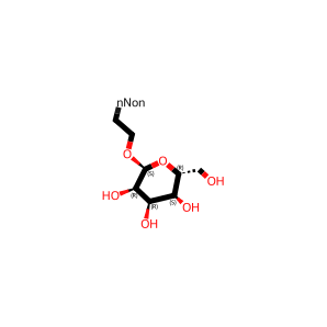 CCCCCCCCCCCO[C@H]1O[C@H](CO)[C@@H](O)[C@@H](O)[C@H]1O